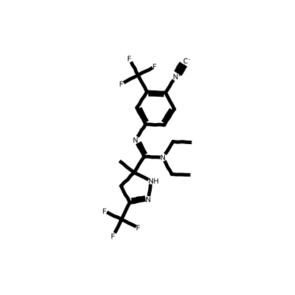 [C-]#[N+]c1ccc(/N=C(\N(CC)CC)C2(C)CC(C(F)(F)F)=NN2)cc1C(F)(F)F